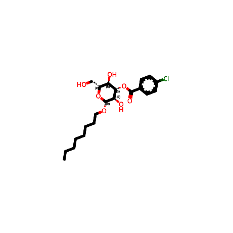 CCCCCCCCO[C@@H]1O[C@H](CO)[C@@H](O)[C@H](OC(=O)c2ccc(Cl)cc2)[C@H]1O